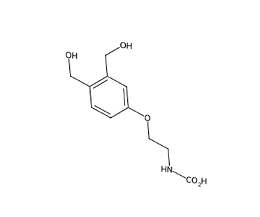 O=C(O)NCCOc1ccc(CO)c(CO)c1